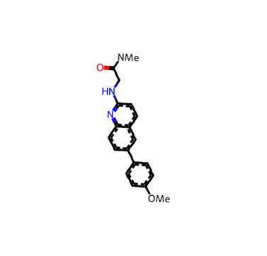 CNC(=O)CNc1ccc2cc(-c3ccc(OC)cc3)ccc2n1